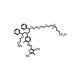 CCCOCCOC(CN(CC(OCCOCCOCC[N+](C)(C)CCCS(=O)(=O)O)c1ccccc1)c1ccc(/N=N/c2sc(C#N)c(C)c2C#N)c(C)c1)c1ccccc1